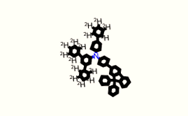 [2H]c1c([2H])c([2H])c(-c2ccc(N(c3ccc(-c4ccc5c(c4)C(c4ccccc4)(c4ccccc4)c4ccccc4-5)cc3)c3cc(-c4c([2H])c([2H])c([2H])c([2H])c4[2H])cc(-c4c([2H])c([2H])c([2H])c([2H])c4[2H])c3)cc2)c([2H])c1[2H]